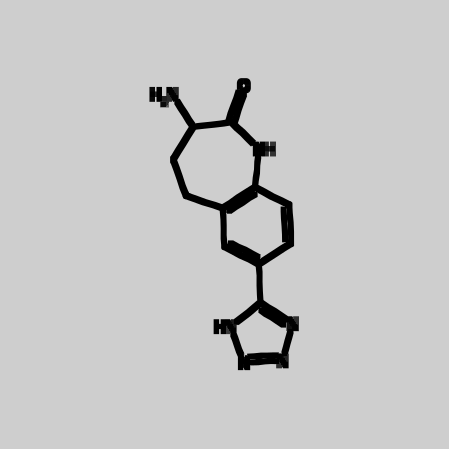 NC1CCc2cc(-c3nnn[nH]3)ccc2NC1=O